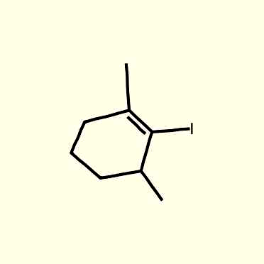 CC1=C(I)C(C)CCC1